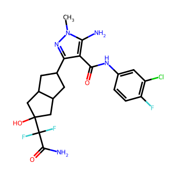 Cn1nc(C2CC3CC(O)(C(F)(F)C(N)=O)CC3C2)c(C(=O)Nc2ccc(F)c(Cl)c2)c1N